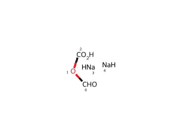 O=COC(=O)O.[NaH].[NaH]